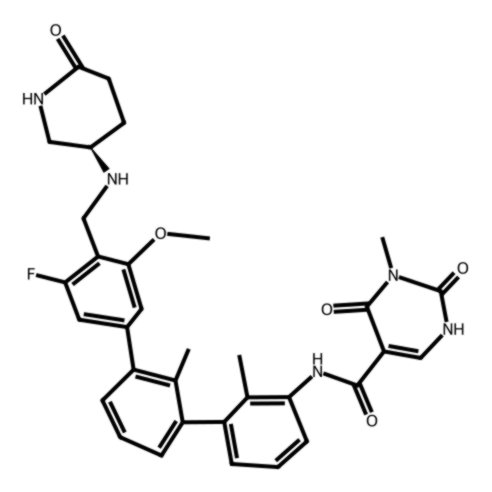 COc1cc(-c2cccc(-c3cccc(NC(=O)c4c[nH]c(=O)n(C)c4=O)c3C)c2C)cc(F)c1CN[C@@H]1CCC(=O)NC1